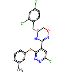 Cc1cccc(Sc2nnc(Cl)cc2C2=NOC[C@@H](Cc3ccc(Cl)cc3Cl)N2)c1